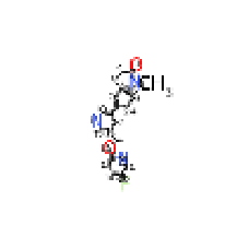 CN1C(=O)CCc2cc(-c3cncc(COc4ccc(F)cn4)c3)ccc21